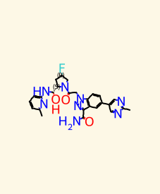 Cc1cccc(NC(O)[C@@H]2C[C@@H](F)CN2C(=O)Cn2nc(C(N)=O)c3cc(-c4cnc(C)nc4)ccc32)n1